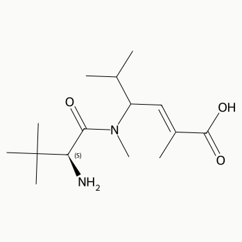 CC(=CC(C(C)C)N(C)C(=O)[C@@H](N)C(C)(C)C)C(=O)O